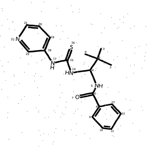 CC(C)(C)C(NC(=O)c1ccccc1)NC(=S)Nc1cccnc1